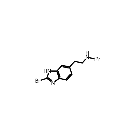 CC(C)NCCc1ccc2nc(Br)[nH]c2c1